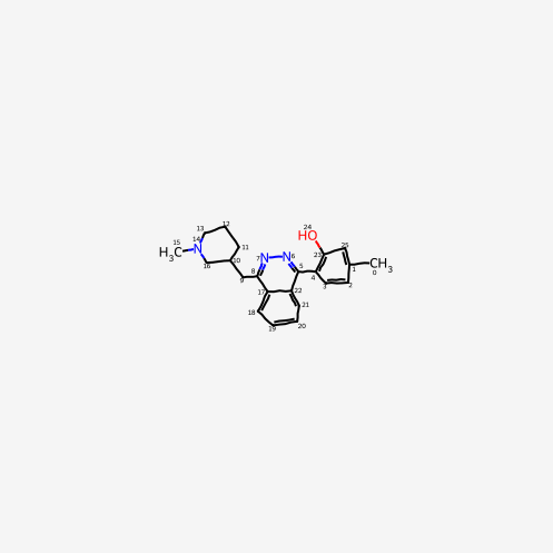 Cc1ccc(-c2nnc(CC3CCCN(C)C3)c3ccccc23)c(O)c1